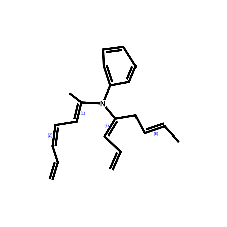 C=C/C=C\C=C(/C)N(/C(=C/C=C)C/C=C/C)c1ccccc1